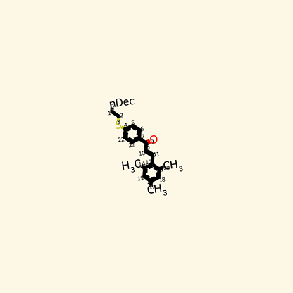 CCCCCCCCCCCCSc1ccc(C(=O)C=Cc2c(C)cc(C)cc2C)cc1